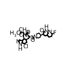 CC(C)(C)CN1Cc2c(cc(Cl)c3[nH]ncc23)C[C@@H](CC(=O)N2CCC(c3cc4ccc(F)nc4[nH]c3=O)CC2)C1=O